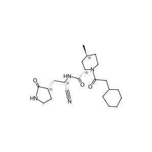 C[C@H]1CCN(C(=O)CC2CCCCC2)[C@H](C(=O)N[C@H](C#N)C[C@@H]2CCNC2=O)C1